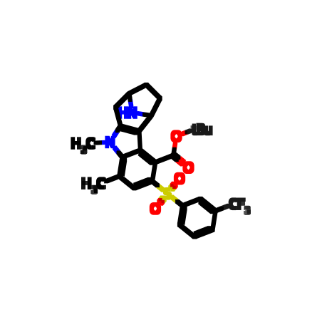 Cc1cc(S(=O)(=O)c2cccc(C(F)(F)F)c2)c(C(=O)OC(C)(C)C)c2c3c(n(C)c12)CC1CCC3N1